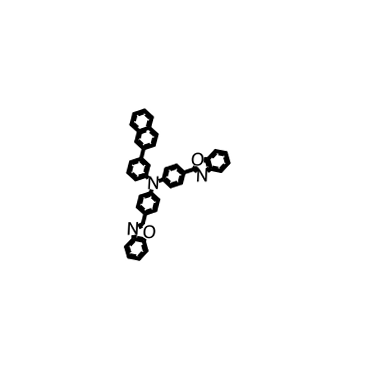 c1cc(-c2ccc3ccccc3c2)cc(N(c2ccc(-c3nc4ccccc4o3)cc2)c2ccc(-c3nc4ccccc4o3)cc2)c1